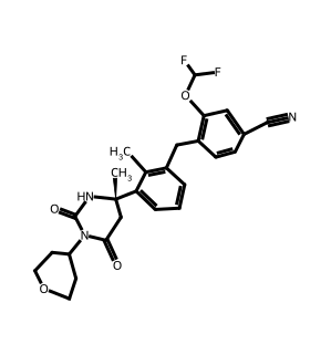 Cc1c(Cc2ccc(C#N)cc2OC(F)F)cccc1[C@]1(C)CC(=O)N(C2CCOCC2)C(=O)N1